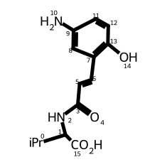 CC(C)C(NC(=O)C=Cc1cc(N)ccc1O)C(=O)O